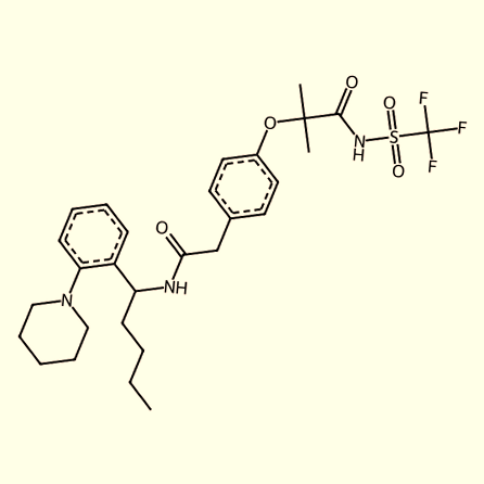 CCCCC(NC(=O)Cc1ccc(OC(C)(C)C(=O)NS(=O)(=O)C(F)(F)F)cc1)c1ccccc1N1CCCCC1